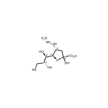 N.O.O=C(O)[C@]1(O)C[C@@H](O)[C@H]([C@H](O)[C@H](O)CO)O1